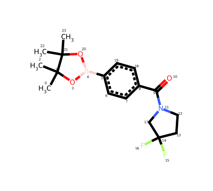 CC1(C)OB(c2ccc(C(=O)N3CCC(F)(F)C3)cc2)OC1(C)C